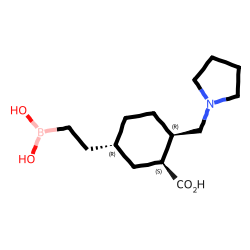 O=C(O)[C@H]1C[C@H](CCB(O)O)CC[C@H]1CN1CCCC1